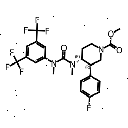 COC(=O)N1CC[C@@H](N(C)C(=O)N(C)c2cc(C(F)(F)F)cc(C(F)(F)F)c2)[C@H](c2ccc(F)cc2)C1